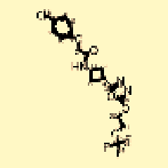 O=C(COc1ccc(Cl)cc1)N[C@H]1C[C@H](c2nnc(OCCOC(F)(F)F)o2)C1